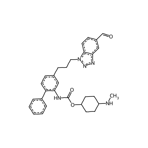 CNC1CCC(OC(=O)Nc2cc(CCCn3nnc4cc(C=O)ccc43)ccc2-c2ccccc2)CC1